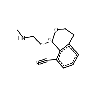 CNCC[C@@H]1OCCc2cccc(C#N)c21